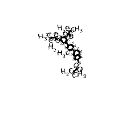 C=C(C)C(=O)OCC1Cc2ccc(-c3ccc(-c4cc(OC(=O)C(=C)C)cc(OC(=O)C(=C)C)c4)cc3C)cc2C1